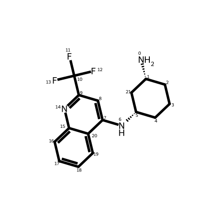 N[C@@H]1CCC[C@H](Nc2cc(C(F)(F)F)nc3ccccc23)C1